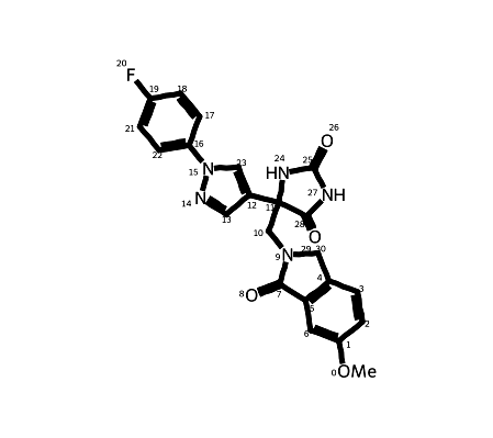 COc1ccc2c(c1)C(=O)N(CC1(c3cnn(-c4ccc(F)cc4)c3)NC(=O)NC1=O)C2